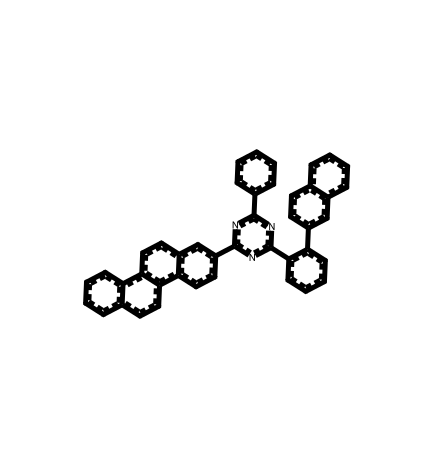 c1ccc(-c2nc(-c3ccc4c(ccc5c6ccccc6ccc45)c3)nc(-c3ccccc3-c3ccc4ccccc4c3)n2)cc1